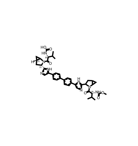 COC(=O)N[C@@H](C(=O)N1C(c2ncc(-c3ccc(-c4ccc(-c5cnc([C@@H]6C[C@@H]7CC7N6C(=O)[C@H](NC(=O)O)C(C)C)[nH]5)cc4)cc3)[nH]2)CC2CC21)C(C)C